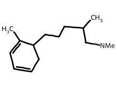 CNCC(C)CCCC1CC=CC=C1C